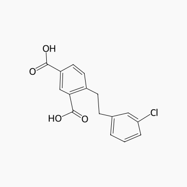 O=C(O)c1ccc(CCc2cccc(Cl)c2)c(C(=O)O)c1